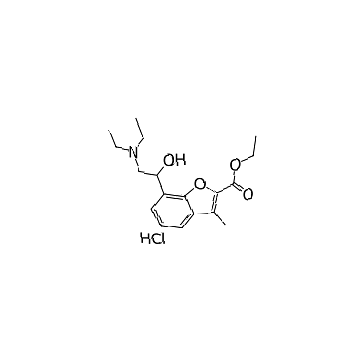 CCOC(=O)c1oc2c(C(O)CN(CC)CC)cccc2c1C.Cl